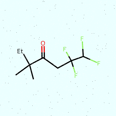 CCC(C)(C)C(=O)CC(F)(F)C(F)F